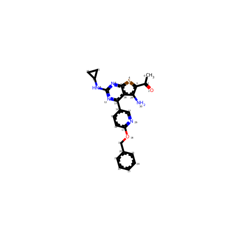 CC(=O)c1sc2nc(NC3CC3)nc(-c3ccc(OCc4ccccc4)nc3)c2c1N